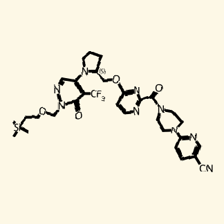 C[Si](C)(C)CCOCn1ncc(N2CCC[C@H]2COc2ccnc(C(=O)N3CCN(c4ccc(C#N)cn4)CC3)n2)c(C(F)(F)F)c1=O